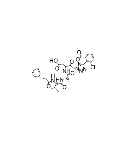 COC(=O)c1cccc(Cl)c1-c1nnn(CC(=O)C(CC(=O)O)NC(=O)[C@H](C)NC(=O)[C@@H](NC(=O)CCc2ccccc2)C(C)C)n1